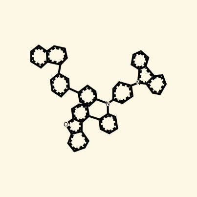 c1cc(-c2ccc(N(c3ccc(-n4c5ccccc5c5ccccc54)cc3)c3ccccc3-c3cccc4oc5ccccc5c34)cc2)cc(-c2cccc3ccccc23)c1